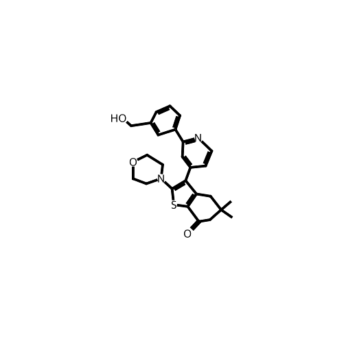 CC1(C)CC(=O)c2sc(N3CCOCC3)c(-c3ccnc(-c4cccc(CO)c4)c3)c2C1